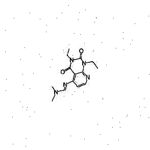 CCn1c(=O)c2c(N=CN(C)C)ccnc2n(CC)c1=O